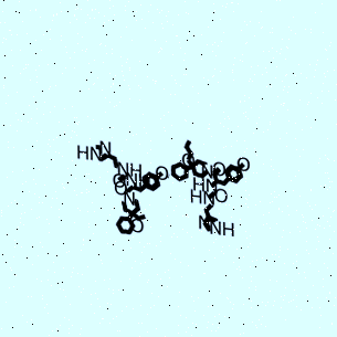 CCCOC1(C2CCCCC2)CCN(C(=O)C(Cc2ccc(OC)cc2)NC(=O)NCCc2c[nH]cn2)CC1.COc1ccc(CC(NC(=O)NCCc2c[nH]cn2)C(=O)N2CCC(C(C)=O)(C3CCCCC3)CC2)cc1